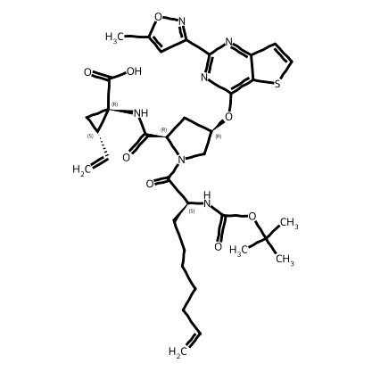 C=CCCCCC[C@H](NC(=O)OC(C)(C)C)C(=O)N1C[C@H](Oc2nc(-c3cc(C)on3)nc3ccsc23)C[C@@H]1C(=O)N[C@]1(C(=O)O)C[C@H]1C=C